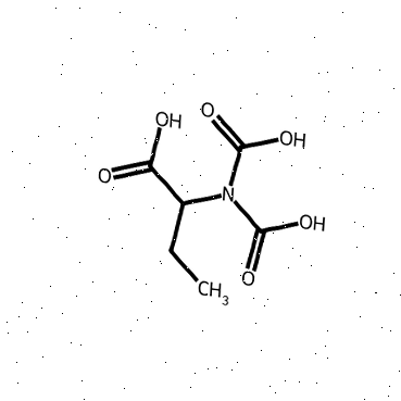 CCC(C(=O)O)N(C(=O)O)C(=O)O